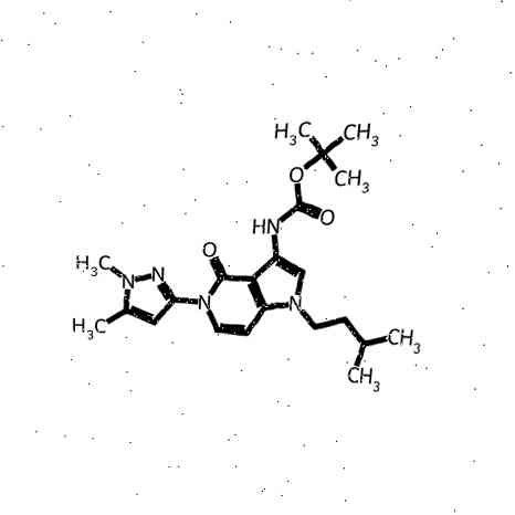 Cc1cc(-n2ccc3c(c(NC(=O)OC(C)(C)C)cn3CCC(C)C)c2=O)nn1C